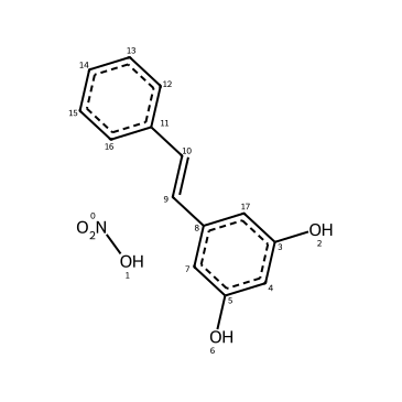 O=[N+]([O-])O.Oc1cc(O)cc(C=Cc2ccccc2)c1